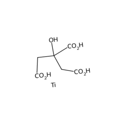 O=C(O)CC(O)(CC(=O)O)C(=O)O.[Ti]